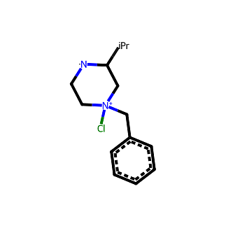 CC(C)C1C[N+](Cl)(Cc2ccccc2)CC[N]1